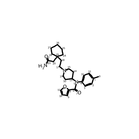 Cc1ccc(N(C(=O)c2ccco2)C2CCN(CCC3(CC(N)=O)CCCCC3)CC2)cc1